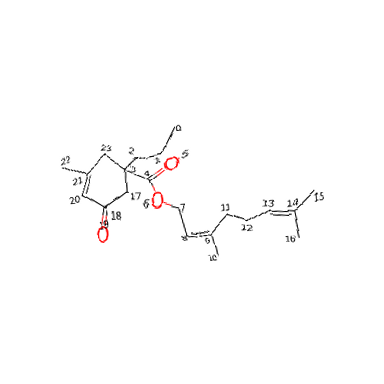 CCCC1(C(=O)OCC=C(C)CCC=C(C)C)CC(=O)C=C(C)C1